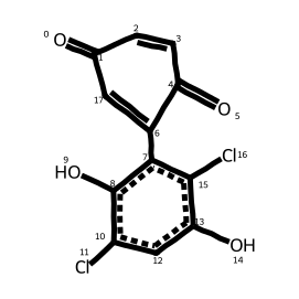 O=C1C=CC(=O)C(c2c(O)c(Cl)cc(O)c2Cl)=C1